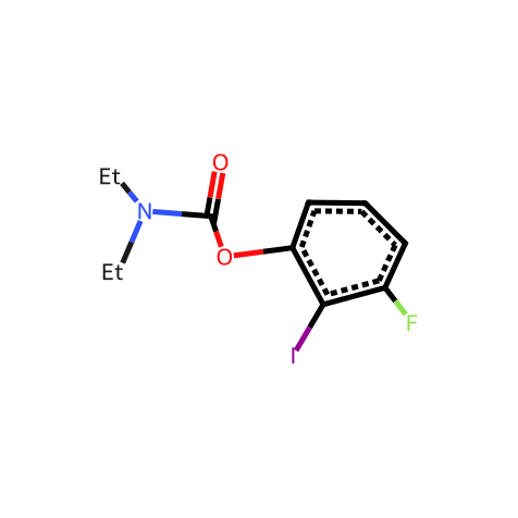 CCN(CC)C(=O)Oc1cccc(F)c1I